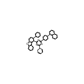 C1=CCC(c2nc(-c3ccc(-c4cccc5ccccc45)cc3)nc(-c3c(-c4ccccc4)ccc4oc5ccccc5c34)n2)C=C1